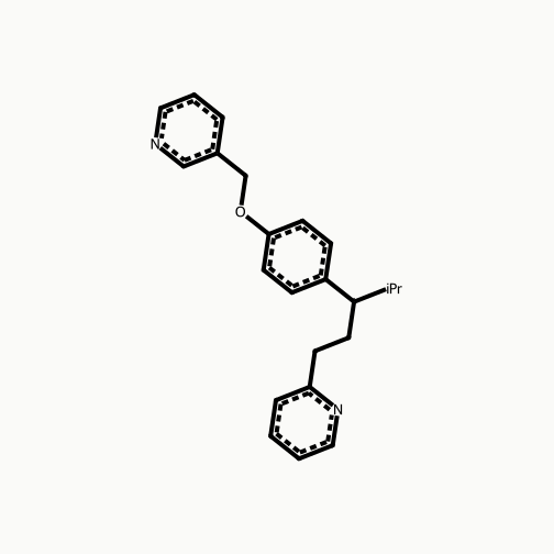 CC(C)[C](CCc1ccccn1)c1ccc(OCc2cccnc2)cc1